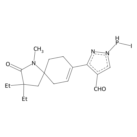 CCC1(CC)CC2(CC=C(c3nn(PI)cc3C=O)CC2)N(C)C1=O